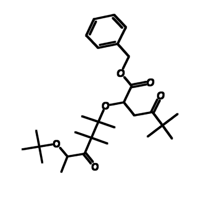 CC(OC(C)(C)C)C(=O)C(C)(C)C(C)(C)OC(CC(=O)C(C)(C)C)C(=O)OCc1ccccc1